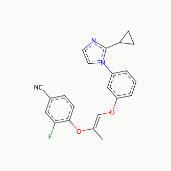 C/C(=C\Oc1cccc(-n2ccnc2C2CC2)c1)Oc1ccc(C#N)cc1F